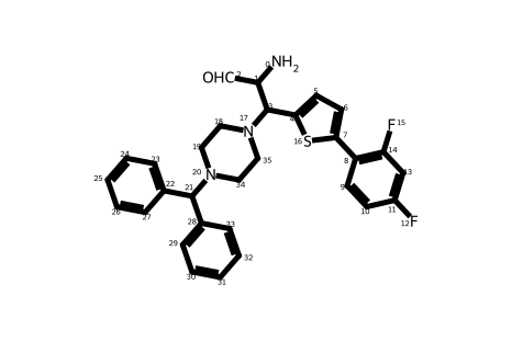 NC(C=O)C(c1ccc(-c2ccc(F)cc2F)s1)N1CCN(C(c2ccccc2)c2ccccc2)CC1